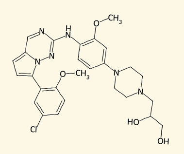 COc1cc(N2CCN(CC(O)CO)CC2)ccc1Nc1ncc2ccc(-c3cc(Cl)ccc3OC)n2n1